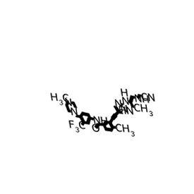 CC(=N)/C(=C\NCC#N)Nc1ncc(C#Cc2cc(C(=O)Nc3ccc(CN4CCN(C)CC4)c(C(F)(F)F)c3)ccc2C)cn1